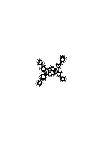 C1=CC(N(C2=CC=C3C=Cc4c(N(C5=CCC(c6ccccc6)C=C5)C5C=CC(c6ccccc6)=CC5)ccc5c4C3C2C=C5)c2ccc(-c3ccccc3)cc2)CC=C1c1ccccc1